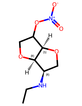 CCN[C@@H]1CO[C@@H]2C(O[N+](=O)[O-])CO[C@@H]21